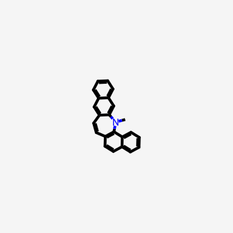 CN1c2cc3ccccc3cc2C=Cc2ccc3ccccc3c21